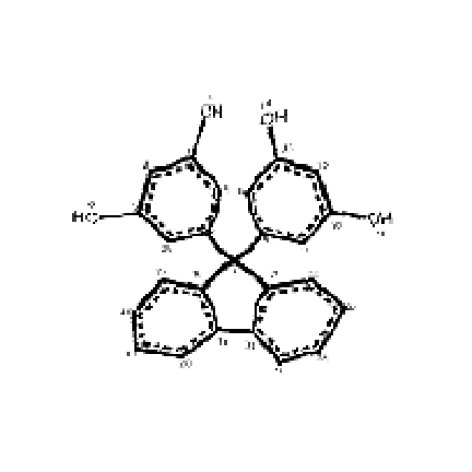 Oc1cc(O)cc(C2(c3cc(O)cc(O)c3)c3ccccc3-c3ccccc32)c1